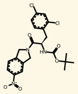 CC(C)(C)OC(=O)N[C@H](Cc1ccc(Cl)cc1Cl)C(=O)N1Cc2ccc([N+](=O)[O-])cc2C1